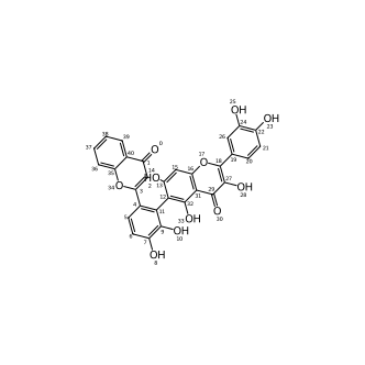 O=c1cc(-c2ccc(O)c(O)c2-c2c(O)cc3oc(-c4ccc(O)c(O)c4)c(O)c(=O)c3c2O)oc2ccccc12